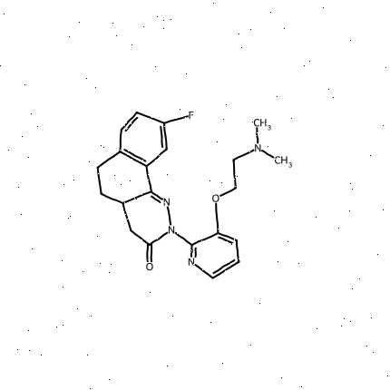 CN(C)CCOc1cccnc1N1N=C2c3cc(F)ccc3CCC2CC1=O